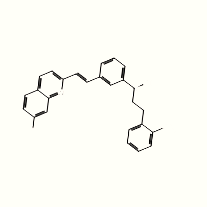 O=C(O)c1ccccc1CC[C@H](O)c1cccc(C=Cc2ccc3ccc(Cl)cc3n2)c1